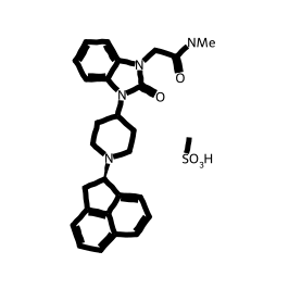 CNC(=O)Cn1c(=O)n(C2CCN([C@@H]3Cc4cccc5cccc3c45)CC2)c2ccccc21.CS(=O)(=O)O